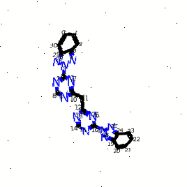 c1ccc2nn(-c3ncnc(Cc4ncnc(-n5nc6ccccc6n5)n4)n3)nc2c1